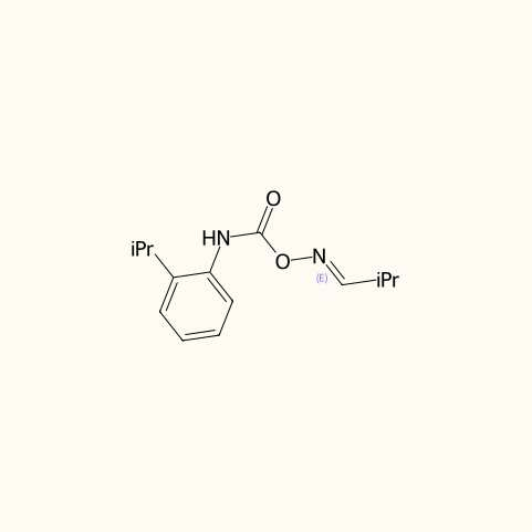 CC(C)/C=N/OC(=O)Nc1ccccc1C(C)C